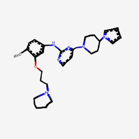 COc1ccc(Nc2nccc(N3CCC(n4cccc4)CC3)n2)cc1OCCCN1CCCC1